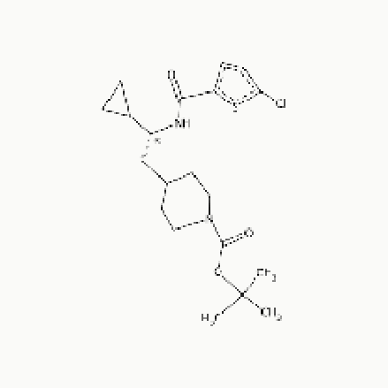 CC(C)(C)OC(=O)N1CCC(C[C@@H](NC(=O)c2ccc(Cl)s2)C2CC2)CC1